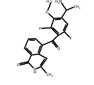 COc1c(C(C)N)cc(F)c(C(=O)c2cccc3c(=O)[nH]c(C)cc23)c1F